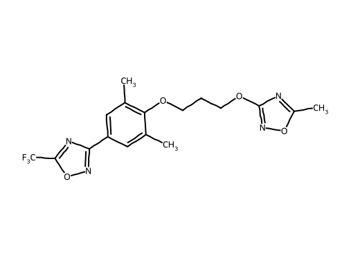 Cc1nc(OCCCOc2c(C)cc(-c3noc(C(F)(F)F)n3)cc2C)no1